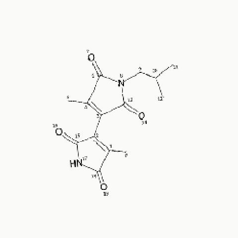 CC1=C(C2=C(C)C(=O)N(CC(C)C)C2=O)C(=O)NC1=O